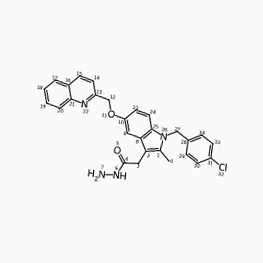 Cc1c(CC(=O)NN)c2cc(OCc3ccc4ccccc4n3)ccc2n1Cc1ccc(Cl)cc1